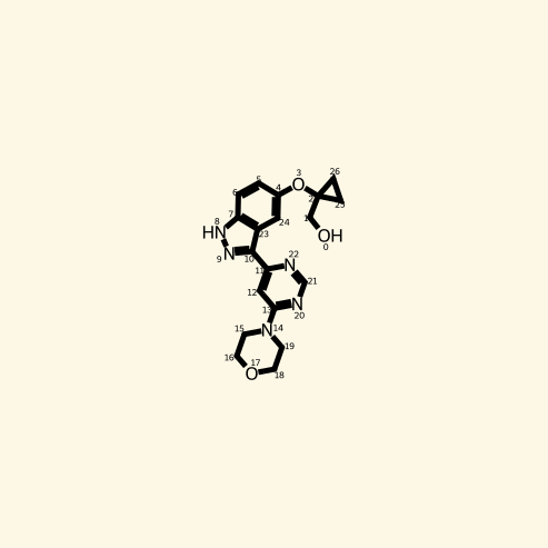 OCC1(Oc2ccc3[nH]nc(-c4cc(N5CCOCC5)ncn4)c3c2)CC1